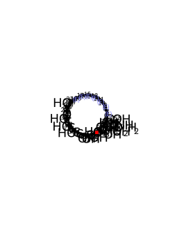 CC1OC(O[C@H]2/C=C/C=C/C=C/C=C/C=C/C=C/C=C/[C@H](C)[C@@H](O)C(C)[C@H](C)O[C@H](O)C[C@H](O)C[C@H](O)CC[C@@H](O)[C@H](O)C[C@H](O)C[C@]3(O)C[C@H](O)[C@@H](C(=O)O)[C@H](C2)O3)C(O)C(N)C1O